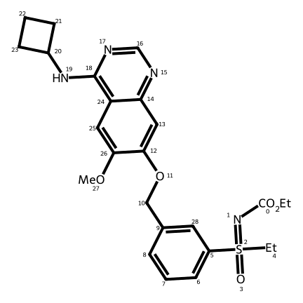 CCOC(=O)N=S(=O)(CC)c1cccc(COc2cc3ncnc(NC4CCC4)c3cc2OC)c1